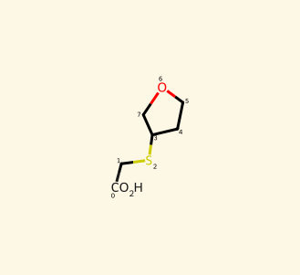 O=C(O)CSC1CCOC1